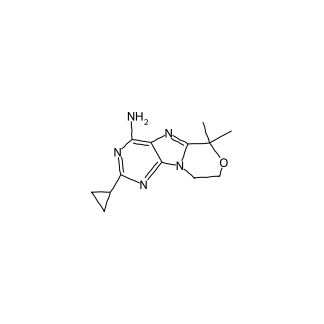 CC1(C)OCCn2c1nc1c(N)nc(C3CC3)nc12